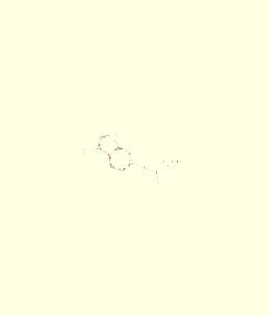 CNC(C)C(F)(F)c1ccc2c(F)coc2c1